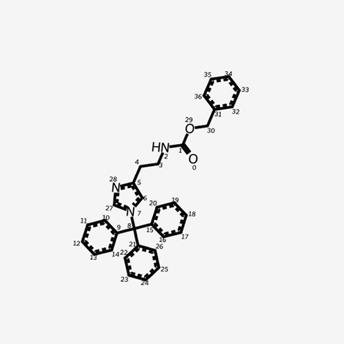 O=C(NCCc1cn(C(c2ccccc2)(c2ccccc2)c2ccccc2)cn1)OCc1ccccc1